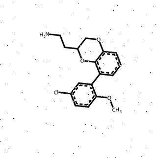 COc1ccc(Cl)cc1-c1cccc2c1OC(CCN)CO2